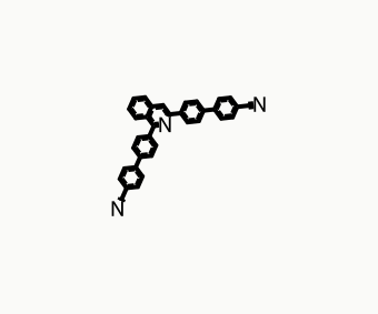 N#Cc1ccc(-c2ccc(-c3cc4ccccc4c(-c4ccc(-c5ccc(C#N)cc5)cc4)n3)cc2)cc1